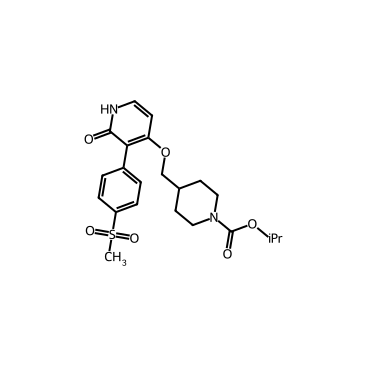 CC(C)OC(=O)N1CCC(COc2cc[nH]c(=O)c2-c2ccc(S(C)(=O)=O)cc2)CC1